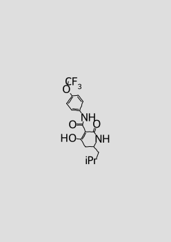 CC(C)CC1CC(O)=C(C(=O)Nc2ccc(OC(F)(F)F)cc2)C(=O)N1